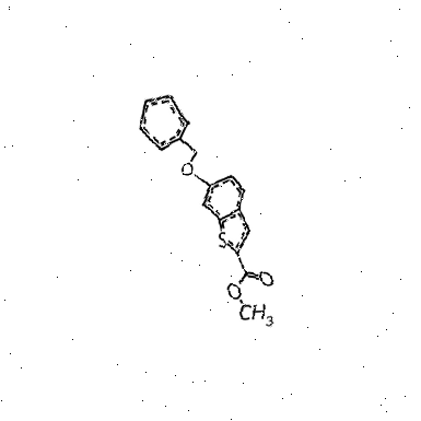 COC(=O)c1cc2ccc(OCc3ccccc3)cc2s1